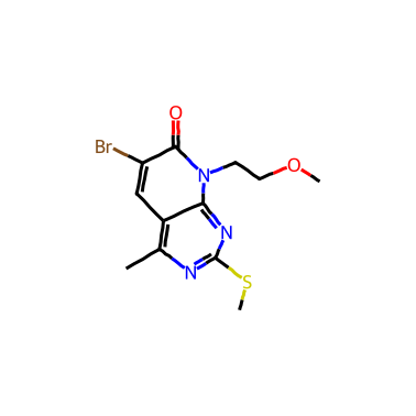 COCCn1c(=O)c(Br)cc2c(C)nc(SC)nc21